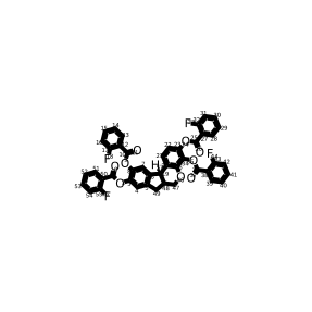 O=C(Oc1cc2c(cc1OC(=O)c1ccccc1F)[C@@H]1c3ccc(OC(=O)c4ccccc4F)c(OC(=O)c4ccccc4F)c3OCC1C2)c1ccccc1F